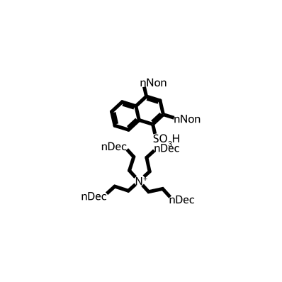 CCCCCCCCCCCC[N+](CCCCCCCCCCCC)(CCCCCCCCCCCC)CCCCCCCCCCCC.CCCCCCCCCc1cc(CCCCCCCCC)c2ccccc2c1S(=O)(=O)O